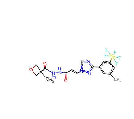 CC1(C(=O)NNC(=O)C=Cn2cnc(-c3cc(C(F)(F)F)cc(S(F)(F)(F)(F)F)c3)n2)COC1